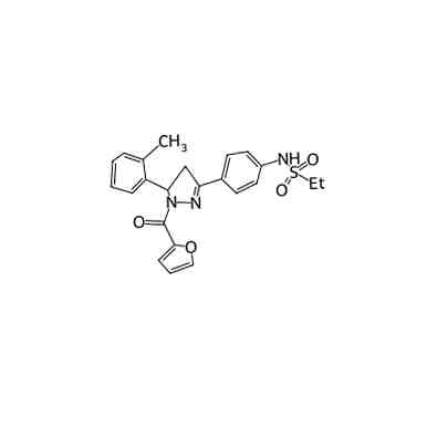 CCS(=O)(=O)Nc1ccc(C2=NN(C(=O)c3ccco3)C(c3ccccc3C)C2)cc1